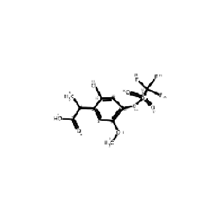 COc1cc(C(C)C(=O)O)c(Cl)cc1OS(=O)(=O)C(F)(F)F